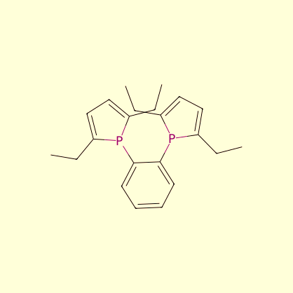 CCc1ccc(CC)p1-c1ccccc1-p1c(CC)ccc1CC